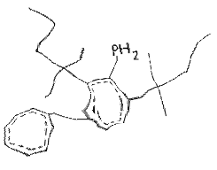 CCCC(C)(C)c1ccc(-c2ccccc2)c(C(C)(C)CCC)c1P